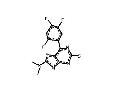 CN(C)c1nc2nc(Cl)nc(-c3cc(F)c(F)cc3F)c2s1